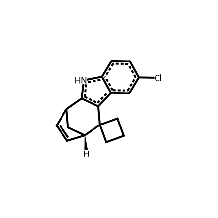 Clc1ccc2[nH]c3c(c2c1)C1(CCC1)[C@@H]1C=CC3C1